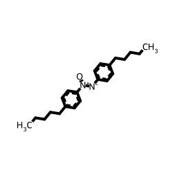 CCCCCc1ccc([N-][N+](=O)c2ccc(CCCCC)cc2)cc1